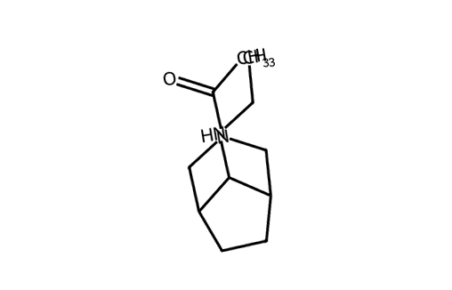 CCNC1C2CCC1CN(C(C)=O)C2